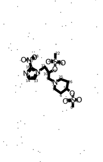 CS(=O)(=O)OC1CCN(CC(Cn2ccnc2[N+](=O)[O-])OS(C)(=O)=O)CC1